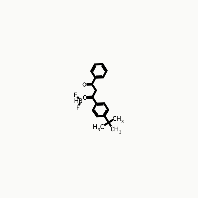 CC(C)(C)c1ccc(C(=O)CC(=O)c2ccccc2)cc1.FBF